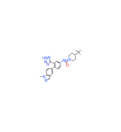 Cn1ncc2cc(-c3ccc(NC(=O)N4CCC(C(C)(C)C)CC4)cc3-c3nn[nH]n3)ccc21